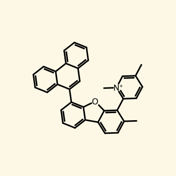 Cc1ccc(-c2c(C)ccc3c2oc2c(-c4cc5ccccc5c5ccccc45)cccc23)[n+](C)c1